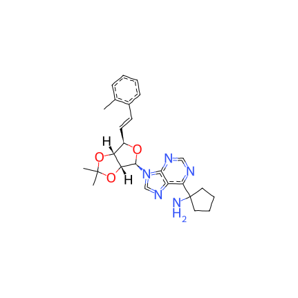 Cc1ccccc1C=C[C@H]1O[C@@H](n2cnc3c(C4(N)CCCC4)ncnc32)[C@@H]2OC(C)(C)O[C@@H]21